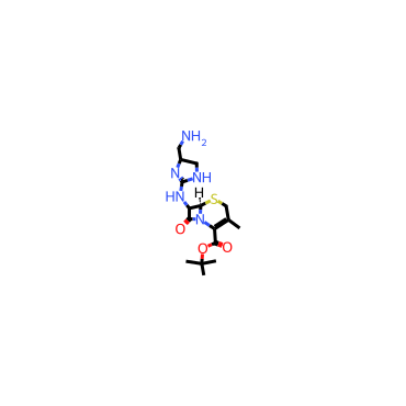 CC1=C(C(=O)OC(C)(C)C)N2C(=O)C(NC3=NC(CN)CN3)[C@H]2SC1